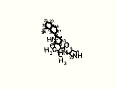 CC(C)C(C(=O)NC1CCNC1)c1ccc(-c2ccc3cccc(F)c3c2)[nH]c1=O